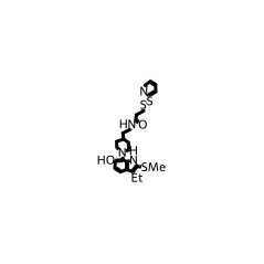 CCc1c(SC)[nH]c2c(N3CCC(CCNC(=O)CCSSc4ccccn4)CC3)c(O)ccc12